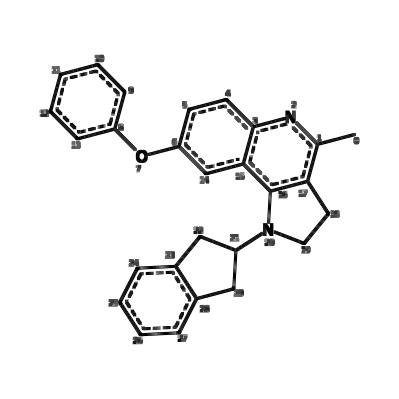 Cc1nc2ccc(Oc3ccccc3)cc2c2c1CCN2C1Cc2ccccc2C1